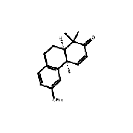 COc1ccc2c(c1)[C@]1(C)C=CC(=O)C(C)(C)[C@@H]1CC2